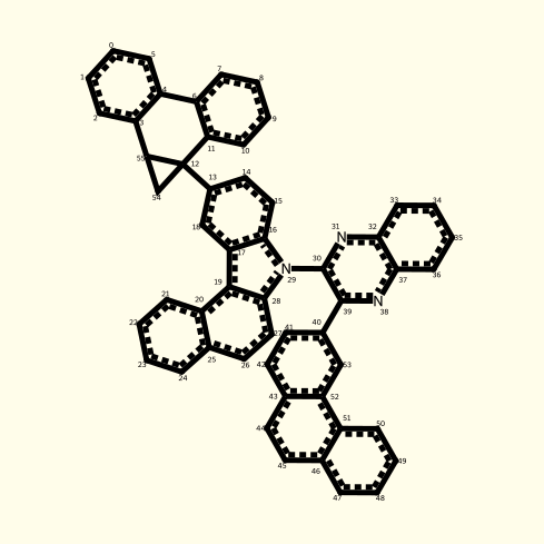 c1ccc2c(c1)-c1ccccc1C1(c3ccc4c(c3)c3c5ccccc5ccc3n4-c3nc4ccccc4nc3-c3ccc4ccc5ccccc5c4c3)CC21